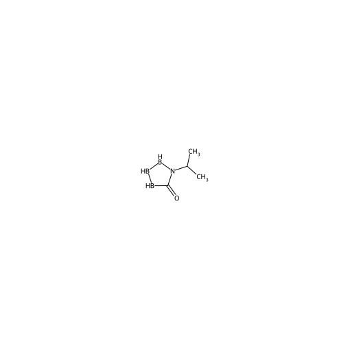 CC(C)N1BBBC1=O